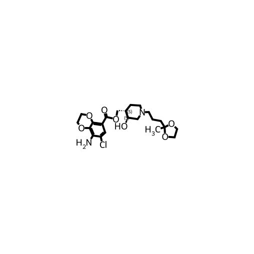 CC1(CCCN2CC[C@@H](COC(=O)c3cc(Cl)c(N)c4c3OCCO4)[C@H](O)C2)OCCO1